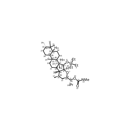 CC[Si](CC)(CC)O[C@H]1[C@H]2O[C@@H]([C@H](OC(=O)NC)C(C)C)C[C@@H](C)[C@@H]2[C@@]2(C)CC[C@@]34C[C@@]35CC[C@H](C)C(C)(C)[C@@H]5CC[C@H]4[C@]12C